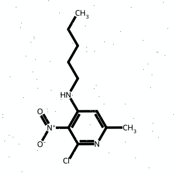 CCCCCNc1cc(C)nc(Cl)c1[N+](=O)[O-]